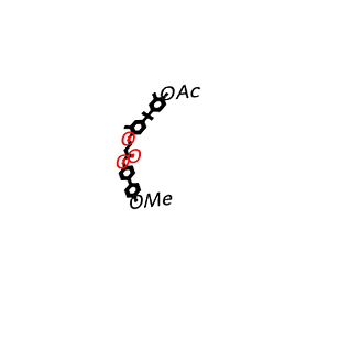 COc1ccc(-c2ccc(OC(=O)CCOc3ccc(C(C)(C)c4ccc(OC(C)=O)c(C)c4)cc3C)cc2)cc1